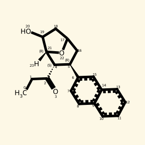 CCC(=O)[C@H]1[C@H](c2ccc3ccccc3c2)CC2CC(O)[C@@H]1O2